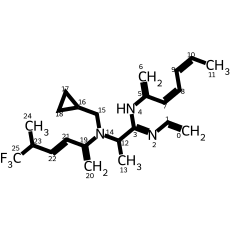 C=C/N=C(\NC(=C)/C=C\C=C/C)C(C)N(CC1CC1)C(=C)/C=C/C(C)C(F)(F)F